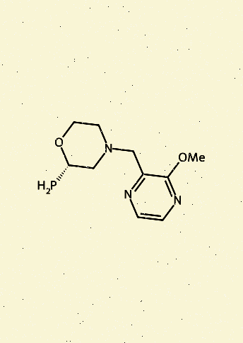 COc1nccnc1CN1CCO[C@@H](P)C1